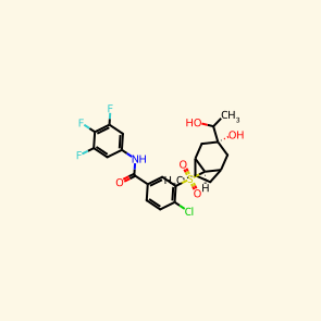 CC(O)[C@@]1(O)CC2C[C@H](C)C(C1)[C@@H]2S(=O)(=O)c1cc(C(=O)Nc2cc(F)c(F)c(F)c2)ccc1Cl